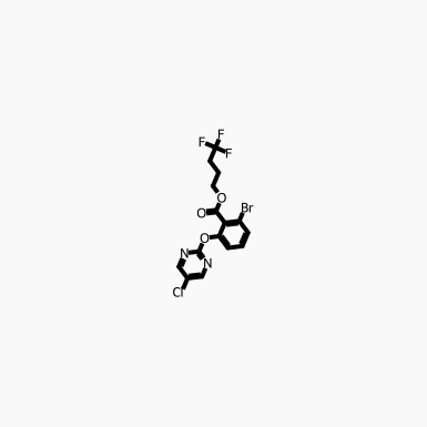 O=C(OCCCC(F)(F)F)c1c(Br)cccc1Oc1ncc(Cl)cn1